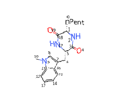 CCCCC[C@@H]1NC(=O)[C@H](Cc2cn(C)c3ccccc23)NC1=O